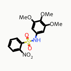 COc1cc(NS(=O)(=O)c2ccccc2[N+](=O)[O-])cc(OC)c1OC